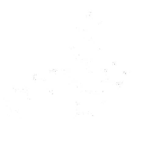 Cc1cccc(NC(=O)Nc2cc(-c3ccccc3-c3nnn[nH]3)cc(CC3CC3)c2OCCC(F)(F)F)c1